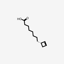 O=C(O)CCCCCCC[C@@H]1C=CC1